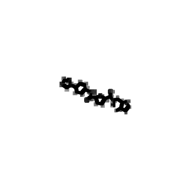 Cc1ccsc1CNC(=O)c1ccc(C(=O)Nc2ccc(-n3cncn3)cc2)s1